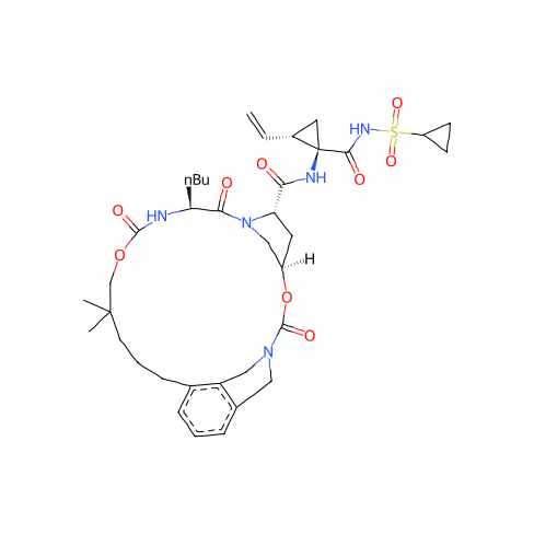 C=C[C@@H]1C[C@]1(NC(=O)[C@@H]1C[C@@H]2CN1C(=O)[C@H](CCCC)NC(=O)OCC(C)(C)CCCc1cccc3c1CN(C3)C(=O)O2)C(=O)NS(=O)(=O)C1CC1